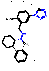 COc1ccc(-n2cnnn2)cc1CNN(C)[C@H]1CCCC[C@H]1c1ccccc1